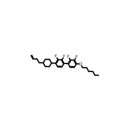 C=CCCC1CCC(c2ccc(-c3ccc(OCCCCCC)c(F)c3F)c(F)c2F)CC1